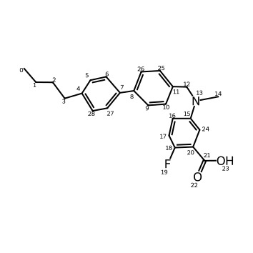 CCCCc1ccc(-c2ccc(CN(C)c3ccc(F)c(C(=O)O)c3)cc2)cc1